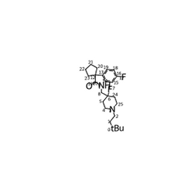 CC(C)(C)CCN1CCC(F)(CNC(=O)C2(c3ccc(F)cc3)CCCC2)CC1